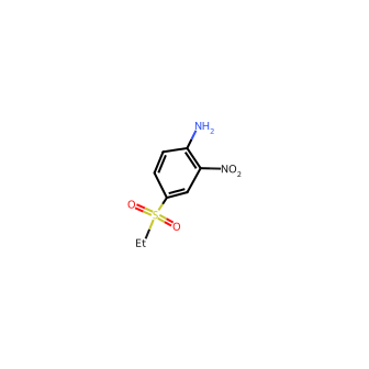 CCS(=O)(=O)c1ccc(N)c([N+](=O)[O-])c1